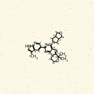 Cc1c[nH]c2ncc(-c3nc(N4CC5COCC5C4)c4nc5n(c4n3)CCOC5(C)C)cc12